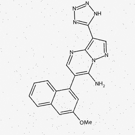 COc1cc(-c2cnc3c(-c4nnn[nH]4)cnn3c2N)c2ccccc2c1